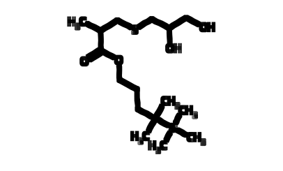 CC(CSCC(O)CO)C(=O)OCCCC(C)(C)[Si](C)(C)C